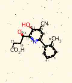 Cc1ccccc1-c1cc(C#N)c(O)c(C(=O)CCC(=O)O)n1